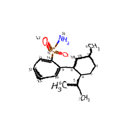 CC1CCC(C(C)C)C(c2ccccc2S(N)(=O)=O)C1